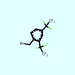 CC(C)Cc1ccc(C(F)(F)C(F)(F)F)[c]c1C(F)(F)C(F)(F)F